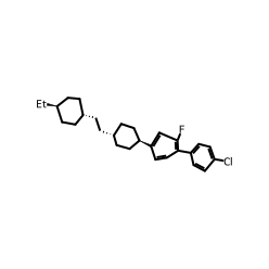 CC[C@H]1CC[C@H](CC[C@H]2CC[C@H](c3ccc(-c4ccc(Cl)cc4)c(F)c3)CC2)CC1